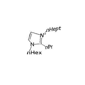 CCCCCCC[n+]1ccn(CCCCCC)c1CCC